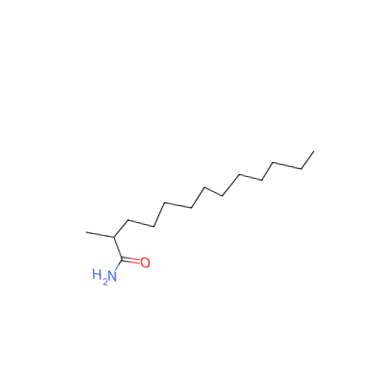 CCCCCCCCCCCC(C)C(N)=O